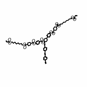 C#Cc1ccc(C#Cc2ccc(C#CC3(OC(=O)c4ccc(OC(=O)C5CCC(C(=O)OCCCCCCCCOC(=O)C=C)CC5)cc4)CCC(c4ccc(OC(=O)C5CCC(C(=O)OCCCCCCCCOC(=O)C=C)CC5)cc4)CC3)cc2)cc1